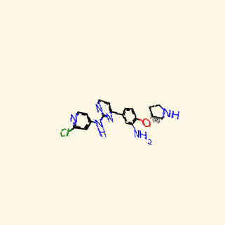 Nc1cc(-c2ccnc(Nc3ccnc(Cl)c3)n2)ccc1O[C@@H]1CCNC1